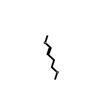 CO/C=C/CCOC